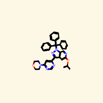 CC(C)Oc1cc2c(-c3cc(N4CCOCC4)ncn3)nn(C(c3ccccc3)(c3ccccc3)c3ccccc3)c2cn1